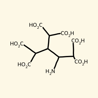 NC([C](C(C(=O)O)C(=O)O)C(C(=O)O)C(=O)O)C(C(=O)O)C(=O)O